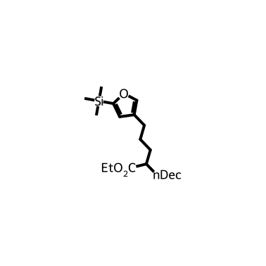 CCCCCCCCCCC(CCCc1coc([Si](C)(C)C)c1)C(=O)OCC